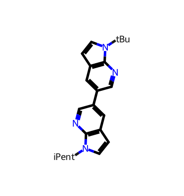 CCCC(C)n1ccc2cc(-c3cnc4c(ccn4C(C)(C)C)c3)cnc21